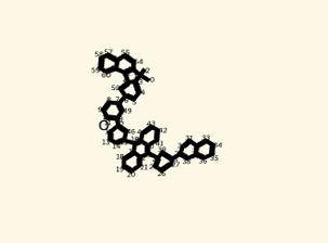 CC1(C)c2ccc(-c3ccc4oc5ccc(-c6c7ccccc7c(-c7cccc(-c8ccc9ccccc9c8)c7)c7ccccc67)cc5c4c3)cc2-c2c1ccc1ccccc21